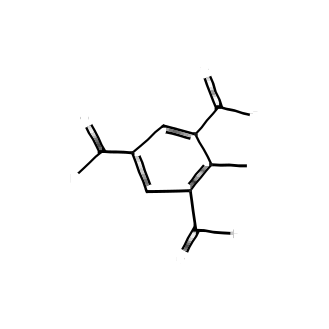 Cc1c(C(=O)F)cc(C(=O)F)cc1C(=O)F